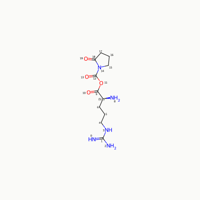 N=C(N)NCCC[C@H](N)C(=O)OC(=O)N1CCCC1=O